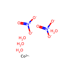 O.O.O.O.O=[N+]([O-])[O-].O=[N+]([O-])[O-].[Co+2]